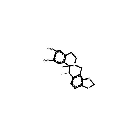 COc1cc2c(cc1OC)[C@H]1[C@@H](C)c3ccc4c(c3CN1CC2)OCO4